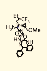 CCC(S/C(=C(\N)c1nnc(N[C@H]2N=C(c3ccccc3)c3ccccc3NC2=O)o1)[C@@H]1C[C@H]1COC)C(F)(F)F